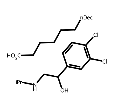 CC(C)NCC(O)c1ccc(Cl)c(Cl)c1.CCCCCCCCCCCCCCCC(=O)O